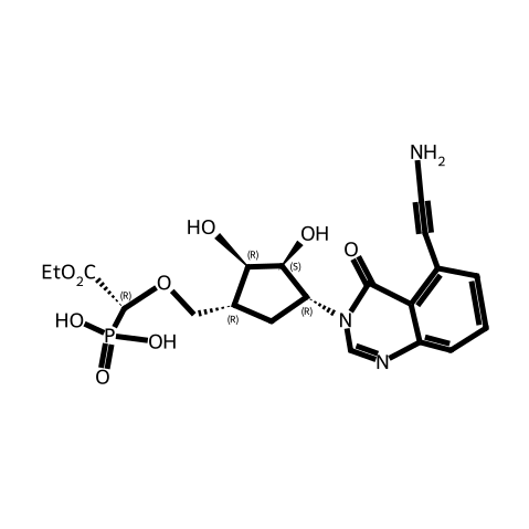 CCOC(=O)[C@H](OC[C@H]1C[C@@H](n2cnc3cccc(C#CN)c3c2=O)[C@H](O)[C@@H]1O)P(=O)(O)O